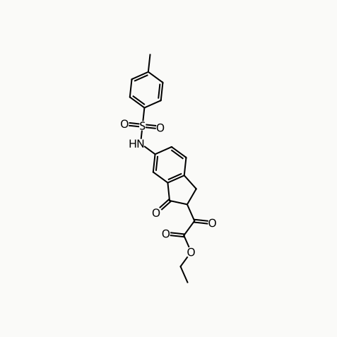 CCOC(=O)C(=O)C1Cc2ccc(NS(=O)(=O)c3ccc(C)cc3)cc2C1=O